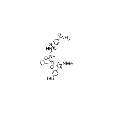 CNc1nc(C(=O)N[C@H](CC2CCCC2)C(=O)NCCNS(=O)(=O)c2ccc(C(N)=O)cc2)c(-c2ccc(C(C)(C)C)cc2)s1